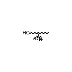 CCCCCCCCCCCCO.CCOC(=O)C(C)N(C)C